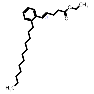 CCCCCCCCCCCCc1ccccc1/C=C/CCC(=O)OCC